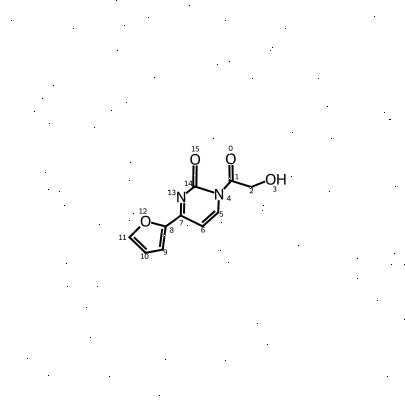 O=C(CO)n1ccc(-c2ccco2)nc1=O